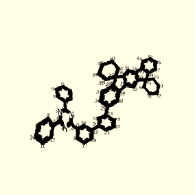 c1ccc(-c2nc(-c3ccccc3)nc(-c3cccc(-c4cccc(-c5ccc6c(c5)-c5cc7c(cc5C65CCCCC5)-c5ccccc5C75CCCCC5)c4)c3)n2)cc1